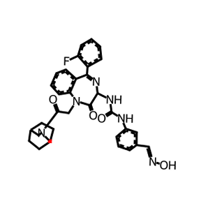 O=C(Nc1cccc(C=NO)c1)NC1N=C(c2ccccc2F)c2ccccc2N(CC(=O)N2CC3CCC(CC3)C2)C1=O